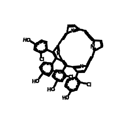 Oc1ccc(C2=CC3=CC4=NC(=CC5=NC(=CC6=NC(=C(c7ccc(O)cc7Cl)C2=N3)C(c2ccc(O)cc2Cl)=C6c2ccc(O)cc2Cl)C=C5)C=C4)c(Cl)c1